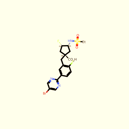 CCS(=O)(=O)N[C@@H]1C[C@@](Cc2cc(-c3ncc(Br)cn3)ccc2F)(C(=O)O)C[C@@H]1F